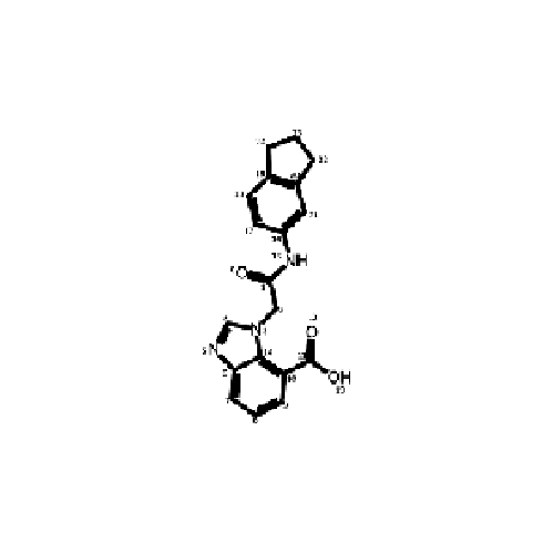 O=C(Cn1cnc2cccc(C(=O)O)c21)Nc1ccc2c(c1)CCC2